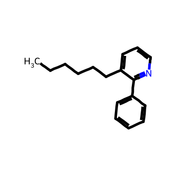 CCCCCCc1cccnc1-c1ccccc1